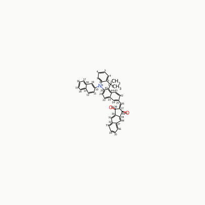 CC1(C)c2ccccc2N(c2ccc3ccccc3c2)c2ccc3cc(C=C4C(=O)c5cc6ccccc6cc5C4=O)ccc3c21